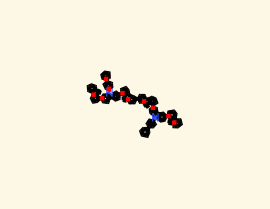 CC1(C)c2ccccc2-c2cccc(-c3ccc4c(c3)c3cc(-c5cccc6c5C(C)(C)c5cc(-c7ccc8c(c7)-c7cccc(-c9ccc%10c%11ccc(-c%12cccc%13c%12C(C)(C)c%12ccccc%12-%13)cc%11n(-c%11ccc(-c%12ccccc%12)cc%11)c%10c9)c7C8(C)C)ccc5-6)ccc3n4-c3ccc(-c4ccccc4)cc3)c21